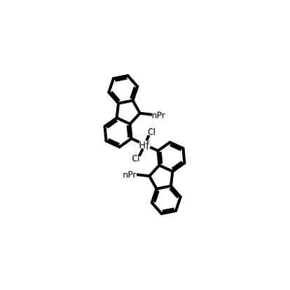 CCCC1c2ccccc2-c2ccc[c]([Hf]([Cl])([Cl])[c]3cccc4c3C(CCC)c3ccccc3-4)c21